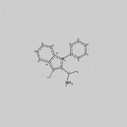 Cc1c(C(C)N)n(-c2ccccc2)c2ccccc12